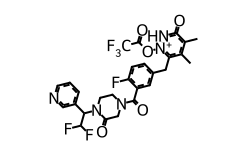 Cc1c(C)c(=O)[nH][n+](OC(=O)C(F)(F)F)c1Cc1ccc(F)c(C(=O)N2CCN(C(c3cccnc3)C(F)F)C(=O)C2)c1